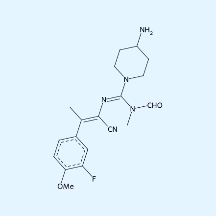 COc1ccc(/C(C)=C(C#N)/N=C(\N(C)C=O)N2CCC(N)CC2)cc1F